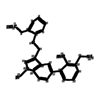 CCOC(=O)Cc1ccccc1OCc1nn(C(C)C)c2ccc(-c3cccc(CN)c3OC)cc12